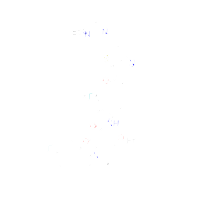 CCOc1ccn(Cc2ccc(F)cc2)c(=O)c1C(=O)Nc1ccc(Oc2ccnc3cc(-c4cn(CC)cn4)sc23)c(F)c1